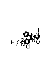 Cc1nc2c(Cl)cc(-c3nc4c(=O)cc[nH]c4nc3-c3ccccc3)cc2o1